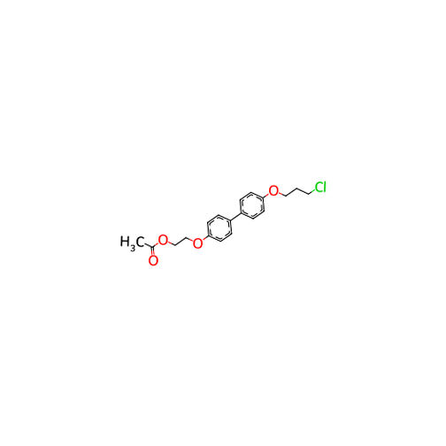 CC(=O)OCCOc1ccc(-c2ccc(OCCCCl)cc2)cc1